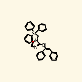 B(C(=Cc1ccccc1)c1ccccc1)c1nccn1C[Si](c1ccccc1)(c1ccccc1)c1ccccc1